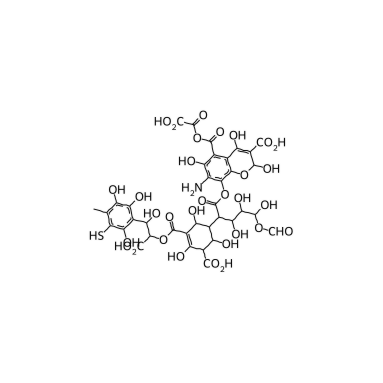 Cc1c(O)c(O)c(C(O)C(OC(=O)C2=C(O)C(C(=O)O)C(O)C(C(C(=O)Oc3c(N)c(O)c(C(=O)OC(=O)C(=O)O)c4c3OC(O)C(C(=O)O)=C4O)C(O)C(O)C(O)OC=O)C2O)C(=O)O)c(O)c1S